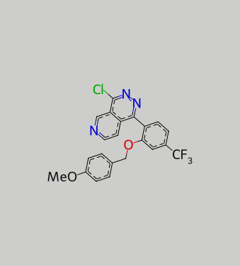 COc1ccc(COc2cc(C(F)(F)F)ccc2-c2nnc(Cl)c3cnccc23)cc1